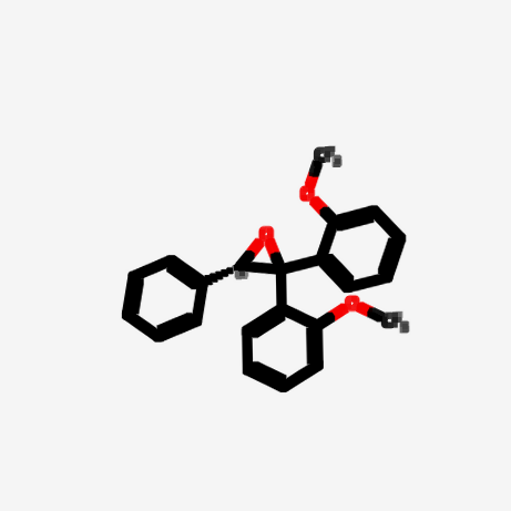 FC(F)(F)Oc1ccccc1C1(c2ccccc2OC(F)(F)F)O[C@H]1c1ccccc1